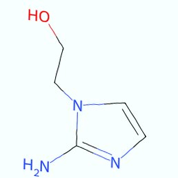 Nc1nccn1CCO